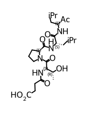 CC(=O)[C@H](CC(C)C)NC(=O)[C@H](CC(C)C)NC(=O)[C@@H]1CCCN1C(=O)[C@@H](NC(=O)CCC(=O)O)[C@@H](C)O